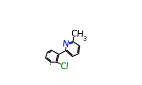 Cc1cccc(-c2ccc[c]c2Cl)n1